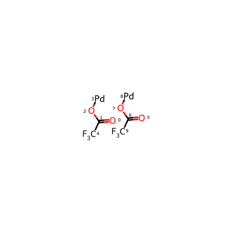 O=C([O][Pd])C(F)(F)F.O=C([O][Pd])C(F)(F)F